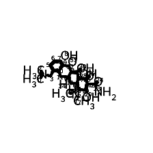 CN(C)Cc1ccc(O)c2c1C[C@H]1C[C@H]3[C@@H](N(C)C)C(O)=C(C(N)=O)C(=O)[C@@]3(O)C(O)=C1C2=O